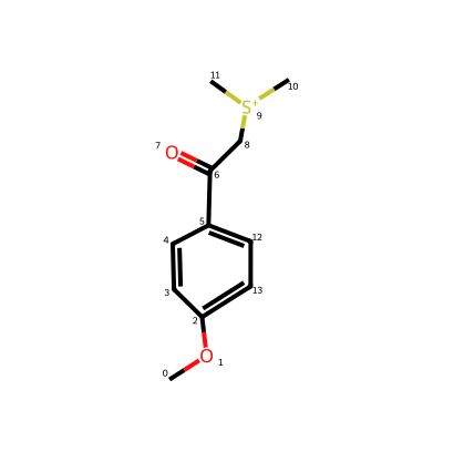 COc1ccc(C(=O)C[S+](C)C)cc1